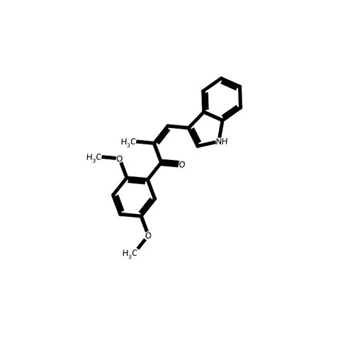 COc1ccc(OC)c(C(=O)C(C)=Cc2c[nH]c3ccccc23)c1